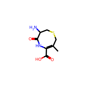 C/C1=C(\C(=O)O)NC(=O)C(N)CSC1